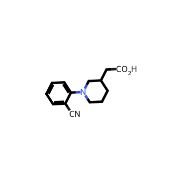 N#Cc1ccccc1N1CCCC(CC(=O)O)C1